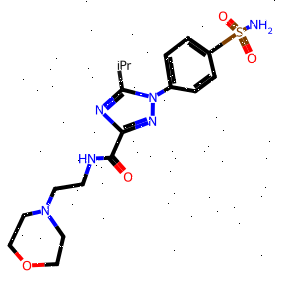 CC(C)c1nc(C(=O)NCCN2CCOCC2)nn1-c1ccc(S(N)(=O)=O)cc1